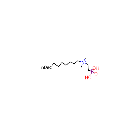 CCCCCCCCCCCCCCCCC[N+](C)(C)CCP(=O)(O)O